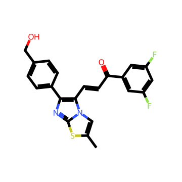 Cc1cn2c(/C=C/C(=O)c3cc(F)cc(F)c3)c(-c3ccc(CO)cc3)nc2s1